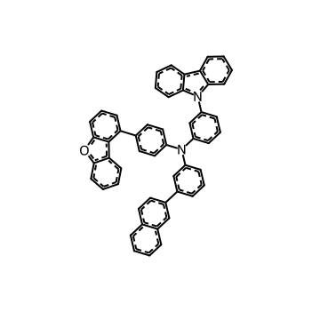 c1cc(-c2ccc3ccccc3c2)cc(N(c2ccc(-c3cccc4oc5ccccc5c34)cc2)c2cccc(-n3c4ccccc4c4ccccc43)c2)c1